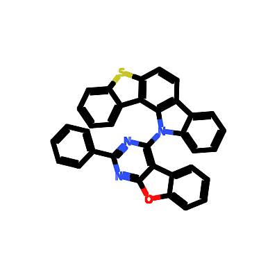 c1ccc(-c2nc(-n3c4ccccc4c4ccc5sc6ccccc6c5c43)c3c(n2)oc2ccccc23)cc1